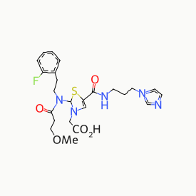 COCCC(=O)N(CCc1ccccc1F)C1SC(C(=O)NCCCn2ccnc2)=CN1CC(=O)O